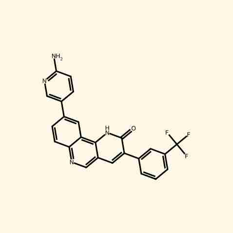 Nc1ccc(-c2ccc3ncc4cc(-c5cccc(C(F)(F)F)c5)c(=O)[nH]c4c3c2)cn1